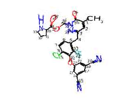 Cc1cc(Cc2ccc(Cl)c(Oc3cc(C#N)cc(C#N)c3)c2F)nn(COC(=O)C2CCCN2)c1=O